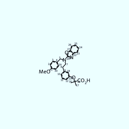 COc1ccc(CN(CCc2cccc(OC(C)(C)C(=O)O)c2)c2nc3ccccc3o2)cc1